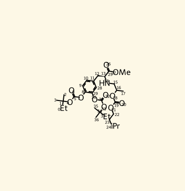 CCC(C)(C)OC(=O)Oc1ccc(C[C@H](NCC(C)OC(=O)OCCC(C)C)C(=O)OC)cc1OC(=O)OC(C)(C)CC